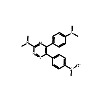 CN(C)c1ccc(-c2nc(N(C)C)nnc2-c2ccc([S+](C)[O-])cc2)cc1